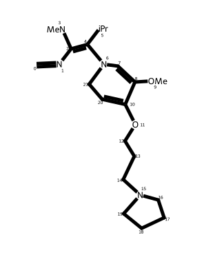 C=N/C(NC)=C(/C(C)C)N1C=C(OC)C(OCCCN2CCCC2)=CC1